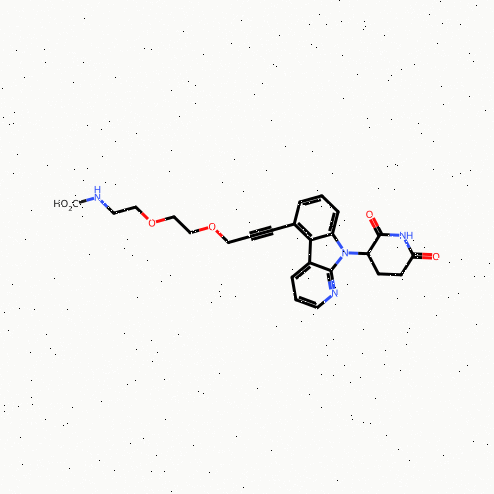 O=C(O)NCCOCCOCC#Cc1cccc2c1c1cccnc1n2C1CCC(=O)NC1=O